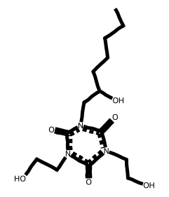 CCCCCC(O)Cn1c(=O)n(CCO)c(=O)n(CCO)c1=O